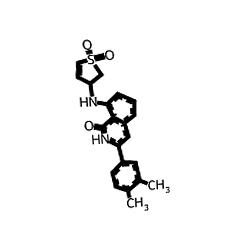 Cc1ccc(-c2cc3cccc(NC4C=CS(=O)(=O)C4)c3c(=O)[nH]2)cc1C